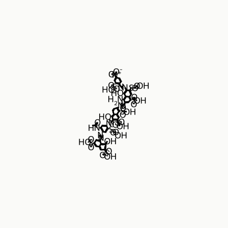 CC(=O)Nc1cc(N=Nc2c(S(=O)(=O)O)cc3c(S(=O)(=O)O)c(N=Nc4cc(S(=O)(=O)O)c5cc(SOOO)c(N=Nc6ccc([N+](=O)[O-])cc6S(=O)(=O)O)c(O)c5c4N)ccc3c2O)c(SOOO)cc1N=Nc1cc(S(=O)(=O)O)cc2cc(S(=O)(=O)O)cc(O)c12